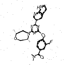 C[C@@H]1CN(c2nc(Oc3ccc(C(=O)N(C)C)cc3F)nc(-c3cnc4[nH]ccc4c3)n2)[C@H](C)CO1